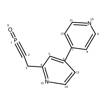 O=P#CCc1cc(-c2ccncc2)ccn1